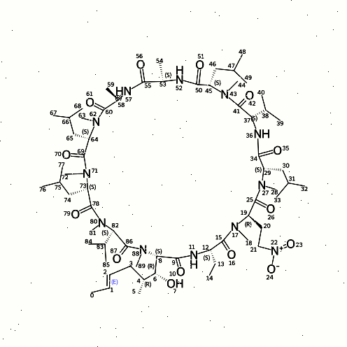 C/C=C/C[C@@H](C)[C@@H](O)[C@H]1C(=O)N[C@@H](CC)C(=O)N(C)[C@H](CC[N+](=O)[O-])C(=O)N(C)[C@@H](CC(C)C)C(=O)N[C@@H](C(C)C)C(=O)N(C)[C@@H](CC(C)C)C(=O)N[C@@H](C)C(=O)N[C@H](C)C(=O)N(C)[C@@H](CC(C)C)C(=O)N(C)[C@@H](CC(C)C)C(=O)N(C)[C@@H](C(C)C)C(=O)N1C